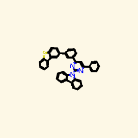 c1ccc(-c2cc(-c3cccc(-c4ccc5sc6ccccc6c5c4)c3)nc(-n3c4ccccc4c4ccccc43)n2)cc1